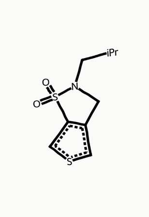 CC(C)CN1Cc2cscc2S1(=O)=O